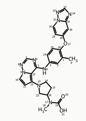 Cc1cc(Nc2ncnn3ccc(N4CCC(N(C)C(=O)O)C4)c23)ccc1Oc1ccn2ncnc2c1